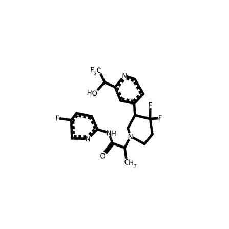 CC(C(=O)Nc1ccc(F)cn1)N1CCC(F)(F)C(c2ccnc(C(O)C(F)(F)F)c2)C1